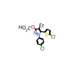 CCc1c(OC(=O)O)nn(-c2ccc(Cl)cc2)c1-c1ccc(Cl)s1